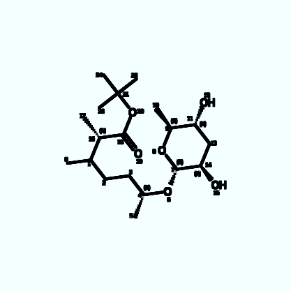 CC(CC[C@@H](C)O[C@@H]1O[C@@H](C)[C@H](O)C[C@H]1O)[C@H](C)C(=O)OC(C)(C)C